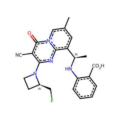 Cc1cc([C@@H](C)Nc2ccccc2C(=O)O)c2nc(N3CC[C@@H]3CF)c(C#N)c(=O)n2c1